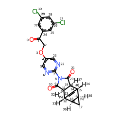 O=C(COc1cnc(N2C(=O)[C@@H]3[C@@H]4C=C[C@@H]([C@H]5C[C@@H]45)[C@@H]3C2=O)nc1)c1cc(Cl)cc(Cl)c1